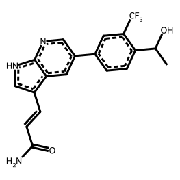 CC(O)c1ccc(-c2cnc3[nH]cc(C=CC(N)=O)c3c2)cc1C(F)(F)F